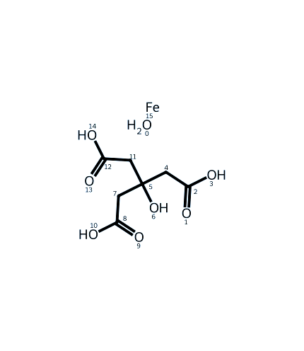 O.O=C(O)CC(O)(CC(=O)O)CC(=O)O.[Fe]